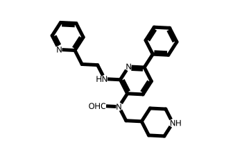 O=CN(CC1CCNCC1)c1ccc(-c2ccccc2)nc1NCCc1ccccn1